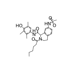 CCCCCC(=O)N1CCc2ccc(NS(C)(=O)=O)cc2C1C(=O)Nc1cc(C)c(O)c(C)c1C